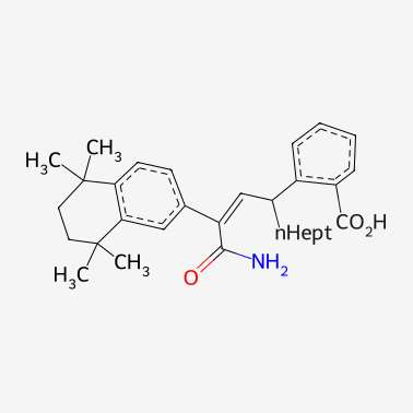 CCCCCCCC(/C=C(\C(N)=O)c1ccc2c(c1)C(C)(C)CCC2(C)C)c1ccccc1C(=O)O